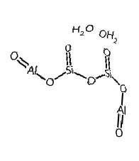 O.O.[O]=[Al][O][Si](=O)O[Si](=O)[O][Al]=[O]